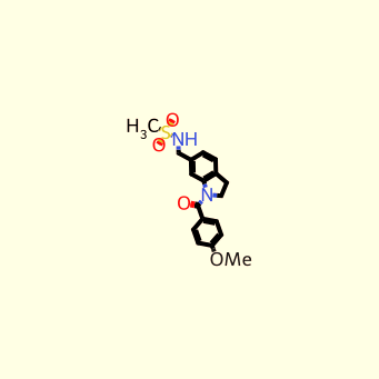 COc1ccc(C(=O)N2CCc3ccc(CNS(C)(=O)=O)cc32)cc1